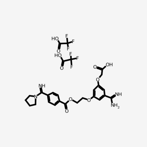 N=C(N)c1cc(OCCOC(=O)c2ccc(C(=N)N3CCCC3)cc2)cc(OCC(=O)O)c1.O=C(O)C(F)(F)F.O=C(O)C(F)(F)F